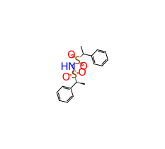 CC(c1ccccc1)S(=O)(=O)NS(=O)(=O)[C@@H](C)c1ccccc1